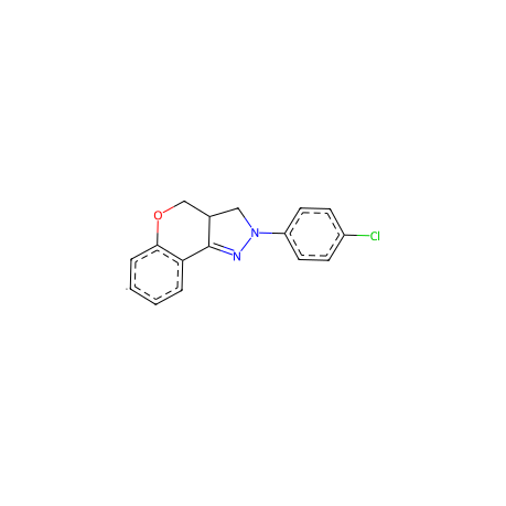 Clc1ccc(N2CC3COc4c[c]ccc4C3=N2)cc1